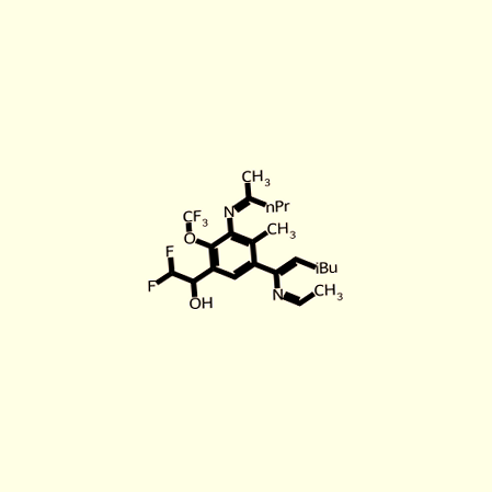 C/C=N\C(=C/C(C)CC)c1cc(C(O)C(F)F)c(OC(F)(F)F)c(/N=C(/C)CCC)c1C